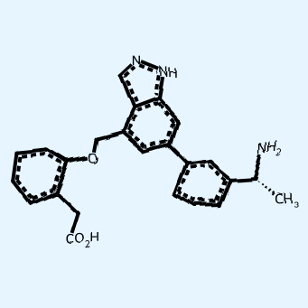 C[C@@H](N)c1cccc(-c2cc(COc3ccccc3CC(=O)O)c3cn[nH]c3c2)c1